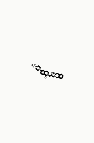 CN1CCN(c2ccc3c(c2)CCN(CC(O)CN2CCc4ccccc4C2)C3=O)CC1